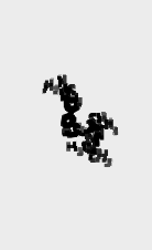 CCc1c(C)nc(CN(C)C)nc1N1CCOc2ccc(-c3cnc4sc(N)nc4c3)cc2C1